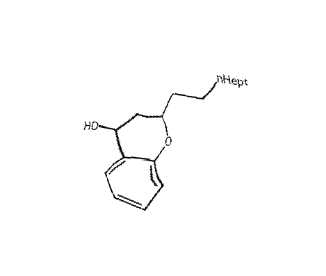 CCCCCCCCCC1CC(O)c2ccccc2O1